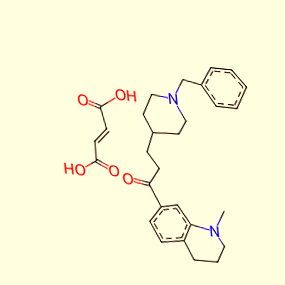 CN1CCCc2ccc(C(=O)CCC3CCN(Cc4ccccc4)CC3)cc21.O=C(O)/C=C/C(=O)O